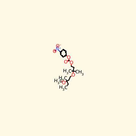 CCC(C)(CCOC(C)(C)CCOC(=O)Oc1ccc([N+](=O)[O-])cc1)OC